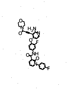 Nc1nccc(Oc2ccc(NC(=O)c3cccn(-c4ccc(F)cc4)c3=O)cc2F)c1C#CC(=O)N1CCOCC1